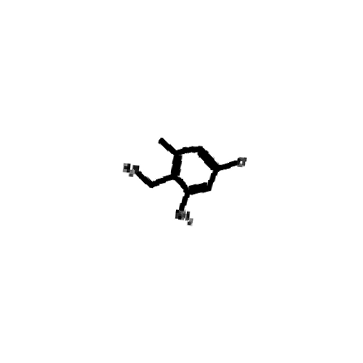 Cc1cc(Cl)cc(N)c1CN